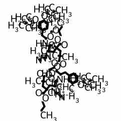 CCCCOC(=O)C(C)(CC(C)(C)C(=O)OCCOC(=O)C(C)(C)CC(C)(CC(C)(N=[N+]=[N-])C(=O)NC(Cc1ccc(O[Si](C)(C)C(C)(C)C)c(C)c1)C(=O)O)C(=O)OCCCC)CC(C)(N=[N+]=[N-])C(=O)NC(Cc1ccc(O[Si](C)(C)C(C)(C)C)c(O[Si](C)(C)C(C)(C)C)c1)OC=O